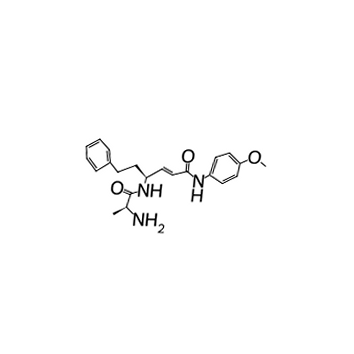 COc1ccc(NC(=O)/C=C/[C@H](CCc2ccccc2)NC(=O)[C@H](C)N)cc1